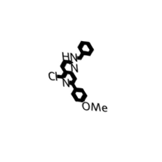 COc1ccc(-c2cc3nc(NCc4ccccc4)ccc3c(Cl)n2)cc1